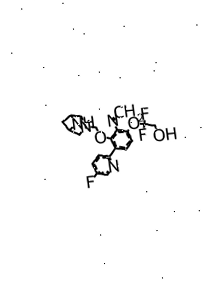 C=Nc1c(OC(F)(F)CO)ccc(-c2ccc(F)cn2)c1OCN1CC2CC(C1)N2